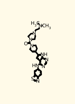 CN(C)CCN1CCN(C(=O)N2CC=C(c3cc4c(Nc5ccc6ncsc6c5)ncnc4[nH]3)CC2)CC1